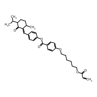 C=CC(=O)OCCCCCCOc1ccc(C(=O)Oc2ccc(/C=C3/C(=O)C(C(C)C)CCC3C)cc2)cc1